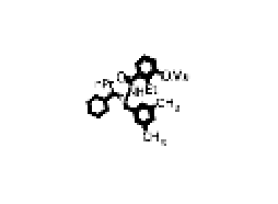 CCC[C@H](C1CCCCC1)N(Cc1cc(C)cc(C)c1)NC(=O)c1cccc(OC)c1CC